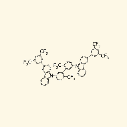 FC(F)(F)c1cc(-c2ccc3c(c2)c2ccccc2n3-c2ccc(C(F)(F)F)c(-c3cc(-n4c5ccccc5c5cc(-c6cc(C(F)(F)F)cc(C(F)(F)F)c6)ccc54)ccc3C(F)(F)F)c2)cc(C(F)(F)F)c1